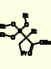 CCO[Si](OCC)(OCC)C(CC)(CC(C)C)C(=O)OCC(C)C